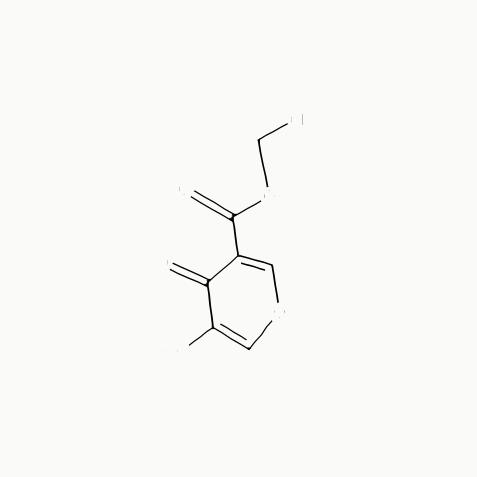 CCOC(=O)c1cocc(C)c1=O